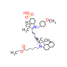 CCOC(=O)CCCCCN1/C(=C/C=C/C=C/C2=[N+](Cc3ccc(OC)cc3)c3ccc(S(=O)(=O)O)cc3C2(C)C)C(C)(C)c2c1ccc1ccccc21